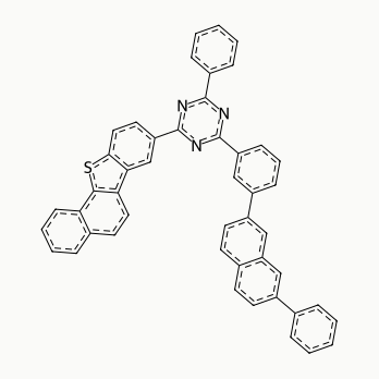 c1ccc(-c2ccc3ccc(-c4cccc(-c5nc(-c6ccccc6)nc(-c6ccc7sc8c9ccccc9ccc8c7c6)n5)c4)cc3c2)cc1